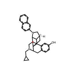 Oc1ccc2c(c1)C13CCN(CC4CC4)C(C2)C12CCC1C3[C@@H](CN1c1ccc3ccccc3c1)C2